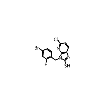 Fc1cc(Br)ccc1Cn1c(S)nc2ccc(Cl)nc21